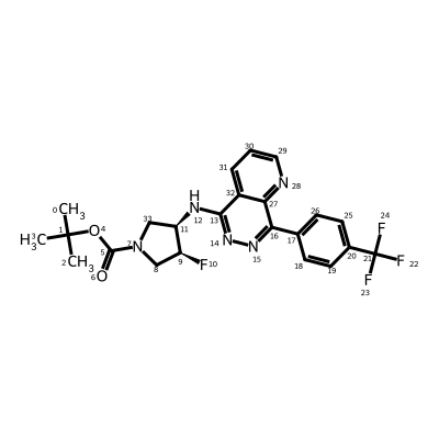 CC(C)(C)OC(=O)N1C[C@H](F)[C@H](Nc2nnc(-c3ccc(C(F)(F)F)cc3)c3ncccc23)C1